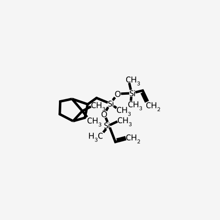 C=C[Si](C)(C)O[Si](C)(CC1CC2CCC1C2(C)C)O[Si](C)(C)C=C